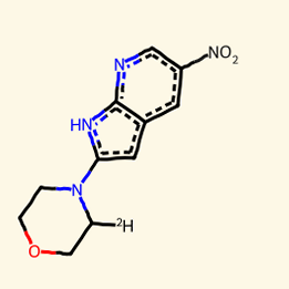 [2H]C1COCCN1c1cc2cc([N+](=O)[O-])cnc2[nH]1